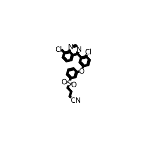 N#CCCCS(=O)(=O)c1cccc(Oc2ccc(Cl)c(-c3ncnc4c(Cl)cccc34)c2)c1